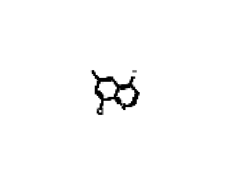 Cc1cc(Cl)c2nccc(F)c2c1